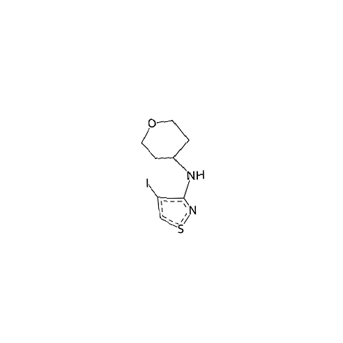 Ic1csnc1NC1CCOCC1